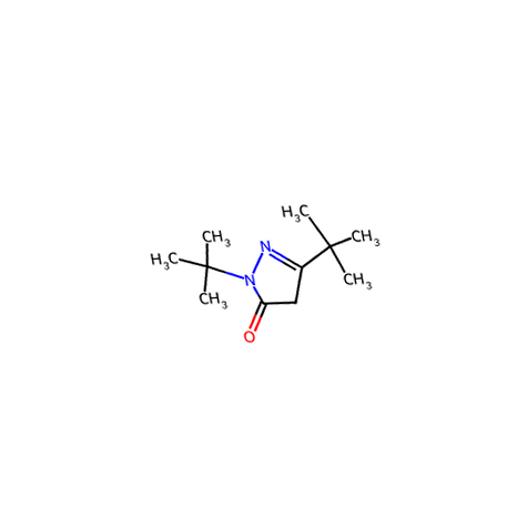 CC(C)(C)C1=NN(C(C)(C)C)C(=O)C1